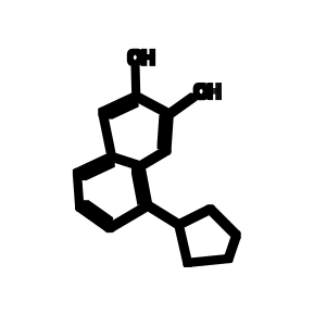 Oc1cc2cccc(C3CCCC3)c2cc1O